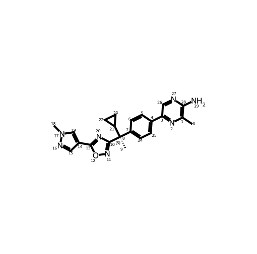 Cc1nc(-c2ccc([C@@](C)(c3noc(-c4cnn(C)c4)n3)C3CC3)cc2)cnc1N